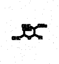 CCC(OC(C=O)OC)C(C=O)OC